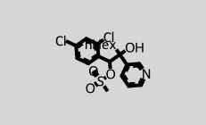 CCCCCCC(O)(c1cccnc1)C(OS(C)(=O)=O)c1ccc(Cl)cc1Cl